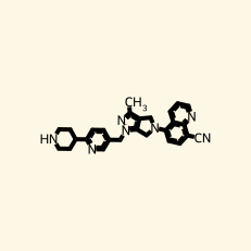 Cc1nn(Cc2ccc(C3CCNCC3)nc2)c2c1CN(c1ccc(C#N)c3ncccc13)C2